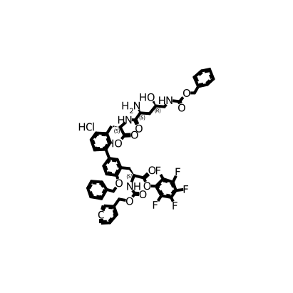 Cl.N[C@@H](C[C@@H](O)CNC(=O)OCc1ccccc1)C(=O)N[C@@H](Cc1cccc(-c2ccc(OCc3ccccc3)c(C[C@H](NC(=O)OCc3ccccc3)C(=O)Oc3c(F)c(F)c(F)c(F)c3F)c2)c1)C(=O)O